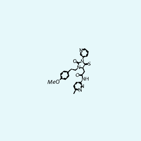 COc1ccc(CCN2C(=O)N(c3cccnc3)C(=S)C2CC(=O)Nc2ccc(C)nn2)cc1